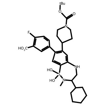 CN1C(C2CCCCC2)CNc2cc(C3CCN(C(=O)OC(C)(C)C)CC3)c(-c3ccc(F)c(C(=O)O)c3)cc2S1(O)O